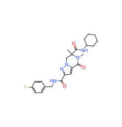 CN1C(=O)c2cc(C(=O)NCc3ccc(F)cc3)nn2CC1(C)C(=O)NC1CCCCC1